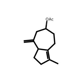 C=C1CC(OC(C)=O)CCC2=C(C)CCC12